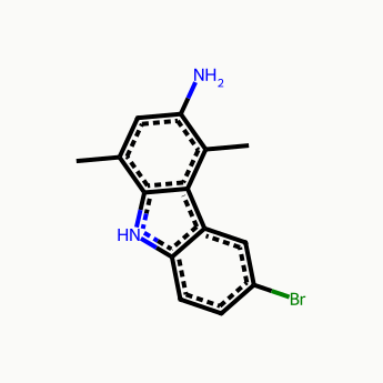 Cc1cc(N)c(C)c2c1[nH]c1ccc(Br)cc12